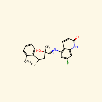 COc1ccccc1C(C)CC(O)(/C=N/c1cc(F)cc2[nH]c(=O)ccc12)C(F)(F)F